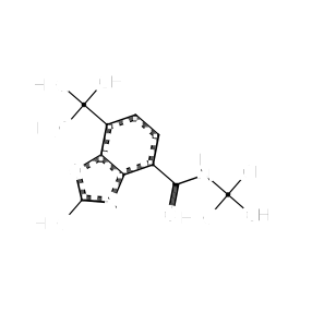 Cc1nc2c(C(=O)NC(C)(C)C)ccc(C(C)(C)C)c2o1